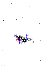 CNc1cccc(-c2ccc(C#N)c(=O)[nH]2)c1